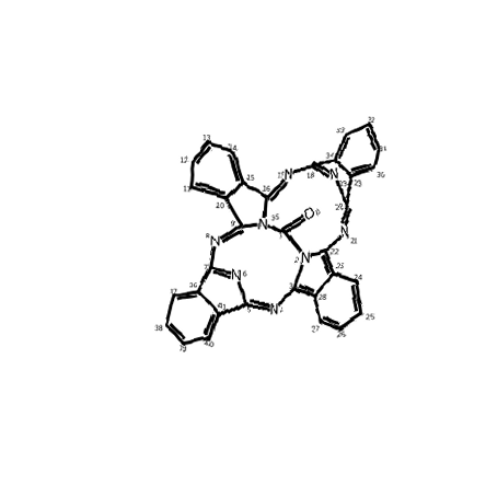 O=c1n2c3nc4nc(nc5c6ccccc6c(nc6nc(nc2c2ccccc23)-c2ccccc2-6)n15)-c1ccccc1-4